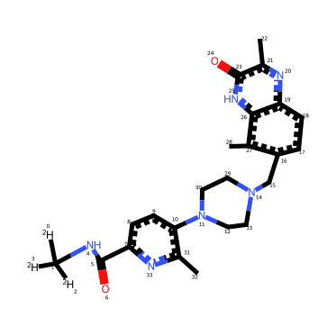 [2H]C([2H])([2H])NC(=O)c1ccc(N2CCN(Cc3ccc4nc(C)c(=O)[nH]c4c3C)CC2)c(C)n1